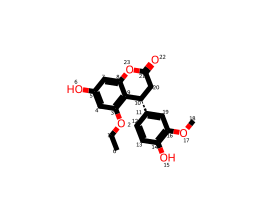 CCOc1cc(O)cc2c1[C@@H](c1ccc(O)c(OC)c1)CC(=O)O2